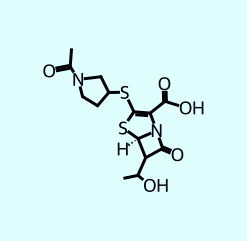 CC(=O)N1CCC(SC2=C(C(=O)O)N3C(=O)C(C(C)O)[C@H]3S2)C1